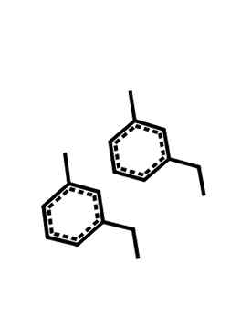 CCc1cccc(C)c1.CCc1cccc(C)c1